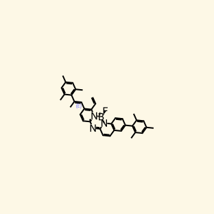 C=Cc1c(/C=C(\C)c2c(C)cc(C)cc2C)ccc2[n+]1B(F)N1C(=N2)C=Cc2cc(-c3c(C)cc(C)cc3C)ccc21